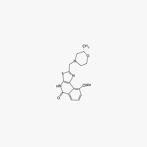 COc1cccc2c(=O)[nH]c3sc(CN4CCO[C@@H](C)C4)nc3c12